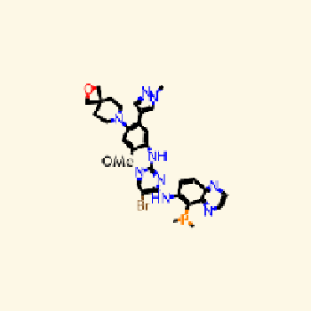 COc1cc(N2CCC3(CC2)COC3)c(-c2cnn(C)c2)cc1Nc1ncc(Br)c(Nc2ccc3nccnc3c2P(C)C)n1